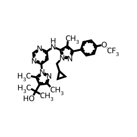 Cc1nn(-c2cc(Nc3c(C)c(-c4ccc(OC(F)(F)F)cc4)nn3CC3CC3)ncn2)c(C)c1C(C)(C)O